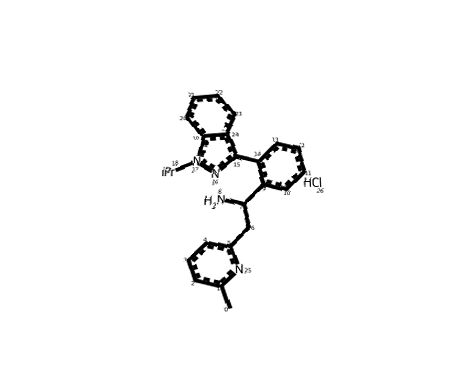 Cc1cccc(CC(N)c2ccccc2-c2nn(C(C)C)c3ccccc23)n1.Cl